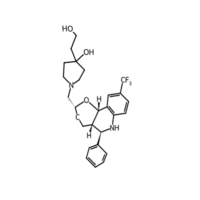 OCCC1(O)CCN(C[C@H]2CC[C@@H]3[C@H](O2)c2cc(C(F)(F)F)ccc2N[C@H]3c2ccccc2)CC1